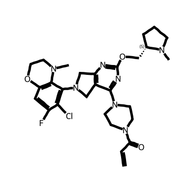 C=CC(=O)N1CCN(c2nc(OC[C@@H]3CCCN3C)nc3c2CN(c2c(Cl)c(F)cc4c2N(C)CCO4)C3)CC1